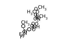 CCC(=O)OC(C)ON=[N+]([O-])N(CC)CCOC(=O)NS(=O)(=O)c1ccc(-n2nc(C(F)(F)F)cc2-c2ccc(C)cc2)cc1